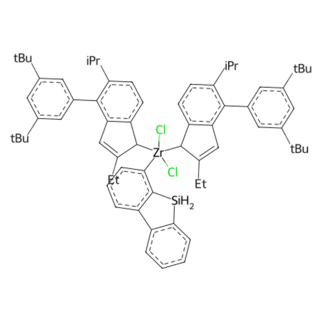 CCC1=Cc2c(ccc(C(C)C)c2-c2cc(C(C)(C)C)cc(C(C)(C)C)c2)[CH]1[Zr]([Cl])([Cl])([c]1cccc2c1[SiH2]c1ccccc1-2)[CH]1C(CC)=Cc2c1ccc(C(C)C)c2-c1cc(C(C)(C)C)cc(C(C)(C)C)c1